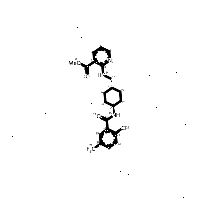 COC(=O)c1cccnc1NC[C@H]1CC[C@H](NC(=O)c2cc(C(F)(F)F)ccc2Cl)CC1